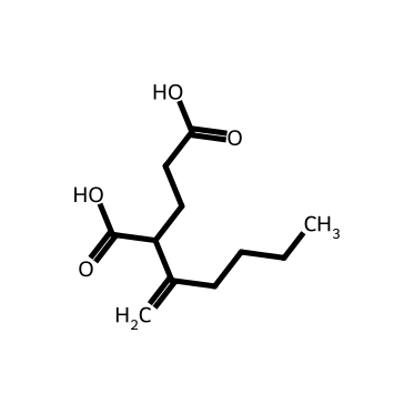 C=C(CCCC)C(CCC(=O)O)C(=O)O